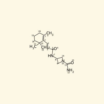 CC1=C(C=CC(=O)NC2CN(C(N)=O)C2)C(C)(C)CCC1